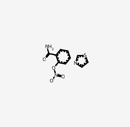 NC(=O)c1ccccc1O[N+](=O)[O-].c1cscn1